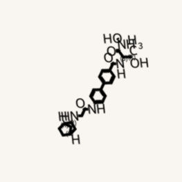 C[C@@H](O)[C@H](NC(=O)c1ccc(-c2ccc(NC(=O)CN[C@@H]3C[C@H]4CC[C@@H]3C4)cc2)cc1)C(=O)NO